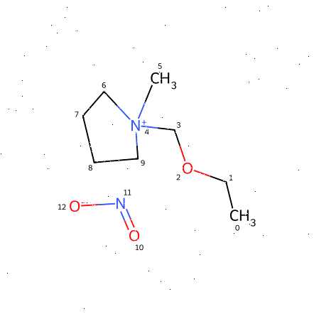 CCOC[N+]1(C)CCCC1.O=N[O-]